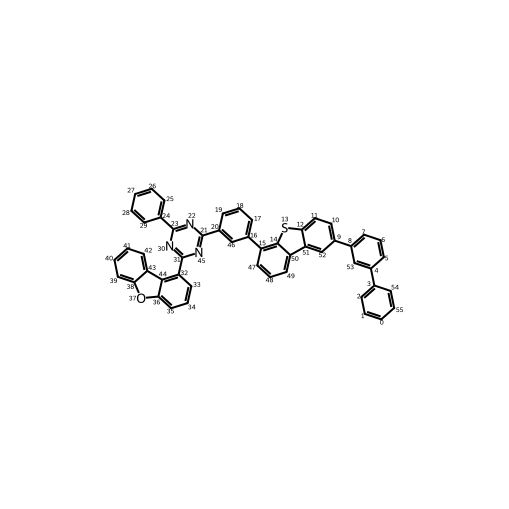 c1ccc(-c2cccc(-c3ccc4sc5c(-c6cccc(-c7nc(-c8ccccc8)nc(-c8cccc9oc%10ccccc%10c89)n7)c6)cccc5c4c3)c2)cc1